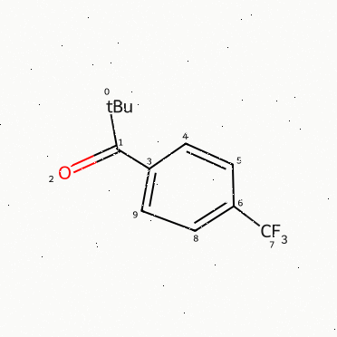 CC(C)(C)C(=O)c1ccc(C(F)(F)F)cc1